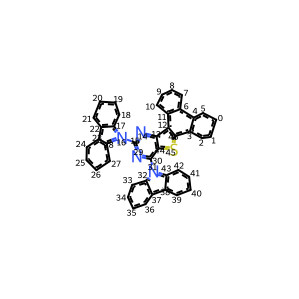 c1ccc2c(c1)c1ccccc1c1c3nc(-n4c5ccccc5c5ccccc54)nc(-n4c5ccccc5c5ccccc54)c3sc21